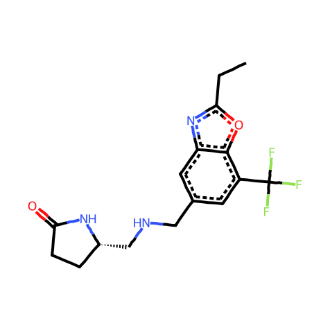 CCc1nc2cc(CNC[C@@H]3CCC(=O)N3)cc(C(F)(F)F)c2o1